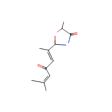 CCCCCC/C(C)=C/C(=O)/C=C(\C)C1NC(=O)C(CCCC)O1